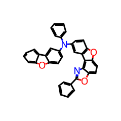 c1ccc(-c2nc3c(ccc4oc5ccc(N(c6ccccc6)c6ccc7oc8ccccc8c7c6)cc5c43)o2)cc1